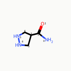 NC(=O)C1CNNC1